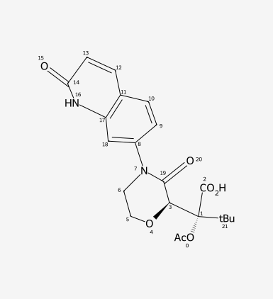 CC(=O)O[C@@](C(=O)O)([C@H]1OCCN(c2ccc3ccc(=O)[nH]c3c2)C1=O)C(C)(C)C